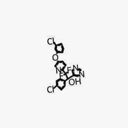 OC(c1ccc(Cl)cc1)(c1cncnc1)C(F)(F)c1ccc(Oc2cccc(Cl)c2)cn1